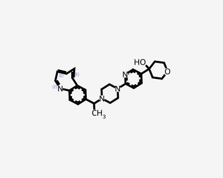 CC(c1ccc2c(c1)/C=C/C=C/C=N\2)N1CCN(c2ccc(C3(O)CCOCC3)cn2)CC1